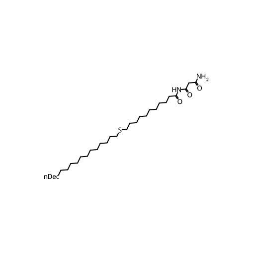 CCCCCCCCCCCCCCCCCCCCCCSCCCCCCCCCCC(=O)NC(=O)CC(N)=O